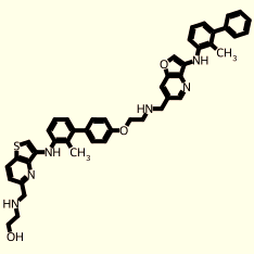 Cc1c(Nc2coc3cc(CNCCOc4ccc(-c5cccc(Nc6csc7ccc(CNCCO)nc67)c5C)cc4)cnc23)cccc1-c1ccccc1